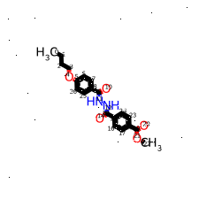 CCCCOc1ccc(C(=O)NNC(=O)c2ccc(C(=O)OC)cc2)cc1